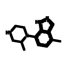 Cc1ccc(N2CCNCC2C)c2[nH]ncc12